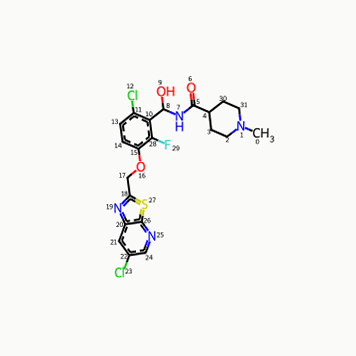 CN1CCC(C(=O)NC(O)c2c(Cl)ccc(OCc3nc4cc(Cl)cnc4s3)c2F)CC1